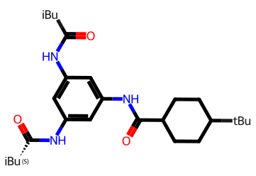 CCC(C)C(=O)Nc1cc(NC(=O)C2CCC(C(C)(C)C)CC2)cc(NC(=O)[C@@H](C)CC)c1